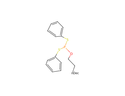 CCCCCCCCCCCCOP(Sc1ccccc1)Sc1ccccc1